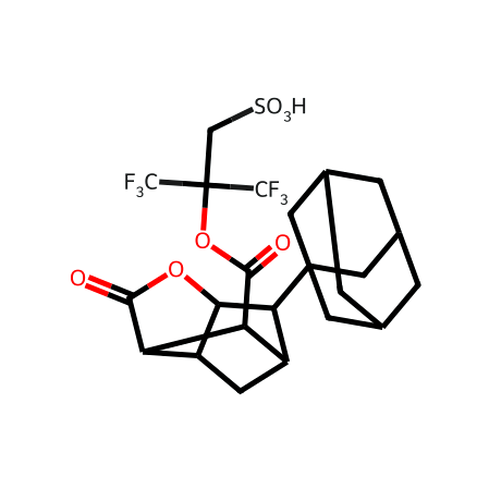 O=C1OC2C3CC(C(C(=O)OC(CS(=O)(=O)O)(C(F)(F)F)C(F)(F)F)C13)C2C12CC3CC(CC(C3)C1)C2